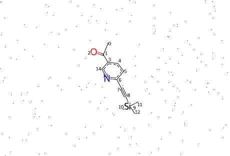 CC(=O)c1ccc(C#C[Si](C)(C)C)nc1